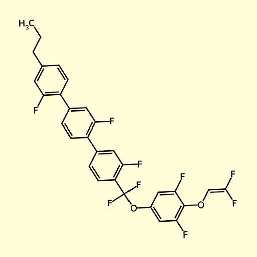 CCCc1ccc(-c2ccc(-c3ccc(C(F)(F)Oc4cc(F)c(OC=C(F)F)c(F)c4)c(F)c3)c(F)c2)c(F)c1